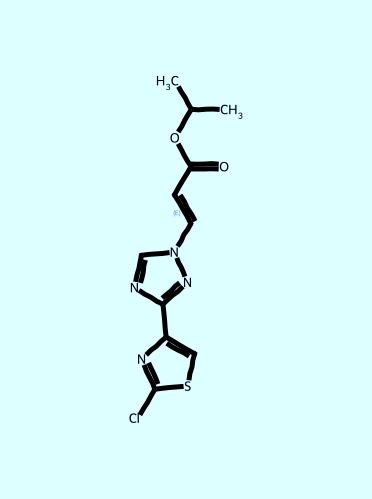 CC(C)OC(=O)/C=C/n1cnc(-c2csc(Cl)n2)n1